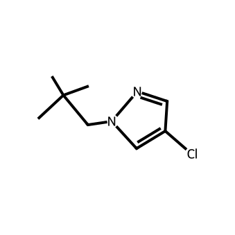 CC(C)(C)Cn1cc(Cl)cn1